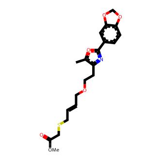 COC(=O)CSCC=CCOCCc1nc(-c2ccc3c(c2)OCO3)oc1C